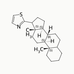 C[C@]12CCCCC1CC[C@@H]1[C@@H]2CC[C@]2(C)C(c3nccs3)CC[C@@H]12